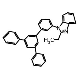 CCc1nc2ccccc2n1-c1cccc(-c2cc(-c3ccccc3)cc(-c3ccccc3)c2)c1